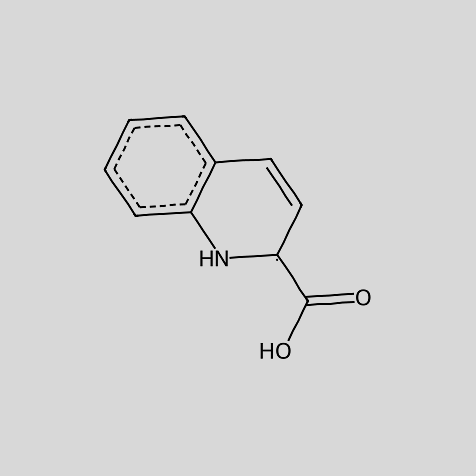 O=C(O)[C]1C=Cc2ccccc2N1